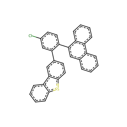 Clc1ccc(-c2cc3ccccc3c3ccccc23)c(-c2ccc3sc4ccccc4c3c2)c1